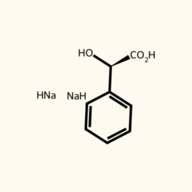 O=C(O)[C@H](O)c1ccccc1.[NaH].[NaH]